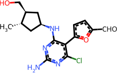 C[C@H]1C[C@H](Nc2nc(N)nc(Cl)c2-c2ccc(C=O)o2)C[C@@H]1CO